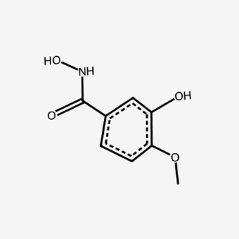 COc1ccc(C(=O)NO)cc1O